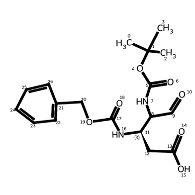 CC(C)(C)OC(=O)NC(C=O)[C@@H](CC(=O)O)NC(=O)OCc1ccccc1